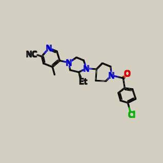 CC[C@H]1CN(c2cnc(C#N)cc2C)CCN1C1CCN(C(=O)c2ccc(Cl)cc2)CC1